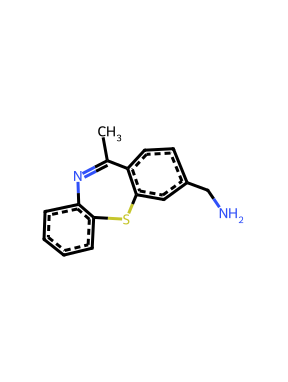 CC1=Nc2ccccc2Sc2cc(CN)ccc21